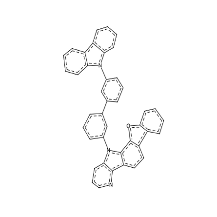 c1cc(-c2cccc(-n3c4cccnc4c4ccc5c6ccccc6oc5c43)c2)cc(-n2c3ccccc3c3ccccc32)c1